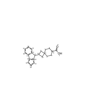 O=C(O)N1CCC2(CC1)CC(C1c3ccccc3-c3cncn31)C2